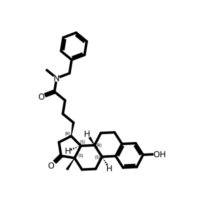 CN(Cc1ccccc1)C(=O)CCC[C@@H]1CC(=O)[C@@]2(C)CC[C@@H]3c4ccc(O)cc4CC[C@H]3[C@H]12